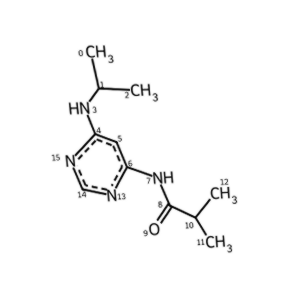 CC(C)Nc1cc(NC(=O)C(C)C)ncn1